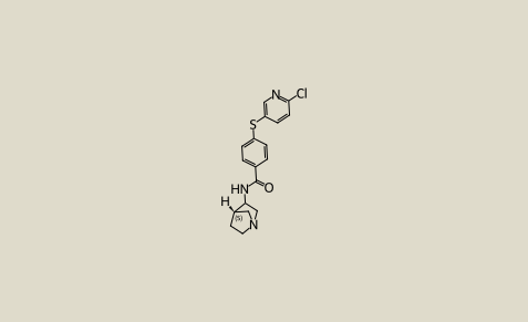 O=C(NC1CN2CC[C@H]1C2)c1ccc(Sc2ccc(Cl)nc2)cc1